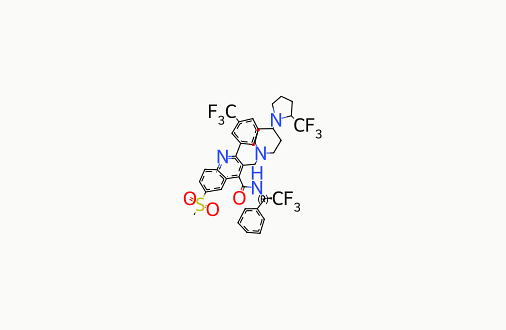 CS(=O)(=O)c1ccc2nc(-c3cccc(C(F)(F)F)c3)c(CN3CCC(N4CCCC4C(F)(F)F)CC3)c(C(=O)N[C@H](c3ccccc3)C(F)(F)F)c2c1